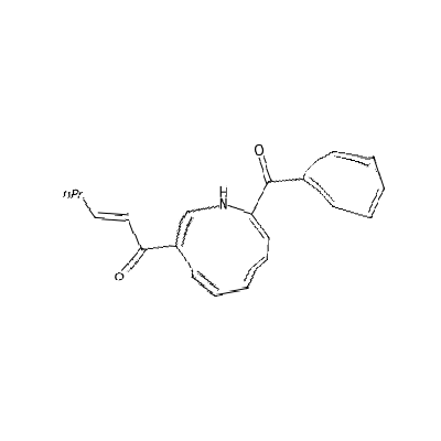 CCCC=CC(=O)c1cccccc(C(=O)c2ccccc2)[nH]c1